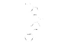 CCCc1ccc(Nc2ccc(-c3ccccc3)cc2)cc1